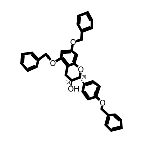 O[C@H]1Cc2c(OCc3ccccc3)cc(OCc3ccccc3)cc2O[C@@H]1c1ccc(OCc2ccccc2)cc1